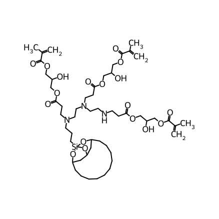 C=C(C)C(=O)OCC(O)COC(=O)CCNCCN(CCC(=O)OCC(O)COC(=O)C(=C)C)CCN(CCC[Si]12OC3CCCCCCCCCCC(CC(C3)O1)O2)CCC(=O)OCC(O)COC(=O)C(=C)C